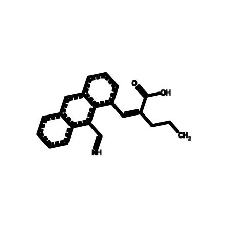 CCCC(=Cc1cccc2cc3ccccc3c(C=N)c12)C(=O)O